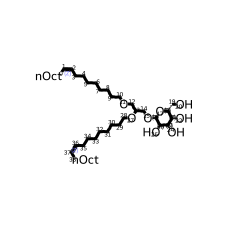 CCCCCCCC/C=C\CCCCCCCCOCC(CO[C@@H]1O[C@H](CO)[C@H](O)[C@H](O)[C@H]1O)OCCCCCCCC/C=C\CCCCCCCC